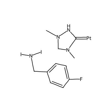 CN1CN(C)[C](=[Pt])N1.Fc1ccc(CN(I)I)cc1